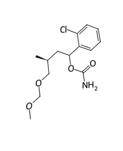 COCOC[C@@H](C)CC(OC(N)=O)c1ccccc1Cl